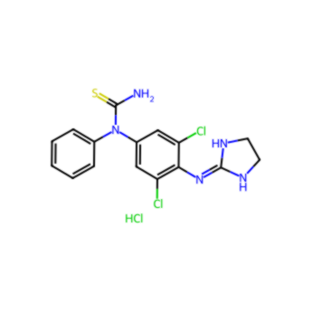 Cl.NC(=S)N(c1ccccc1)c1cc(Cl)c(N=C2NCCN2)c(Cl)c1